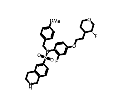 COc1ccc(CN(c2ccc(OCCC3CCOC[C@@H]3F)cc2F)S(=O)(=O)c2ccc3c(c2)CCNC3)cc1